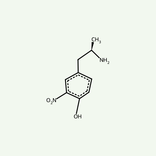 C[C@@H](N)Cc1ccc(O)c([N+](=O)[O-])c1